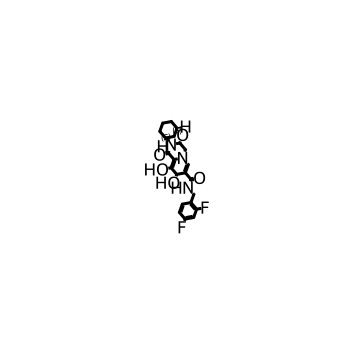 O=C(NCc1ccc(F)cc1F)C1=CN2CC3O[C@H]4CCC[C@@H](C4)N3C(=O)C2=C(O)C1O